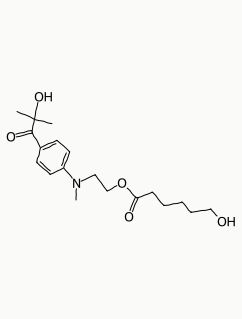 CN(CCOC(=O)CCCCCO)c1ccc(C(=O)C(C)(C)O)cc1